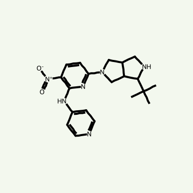 CC(C)(C)C1NCC2CN(c3ccc([N+](=O)[O-])c(Nc4ccncc4)n3)CC21